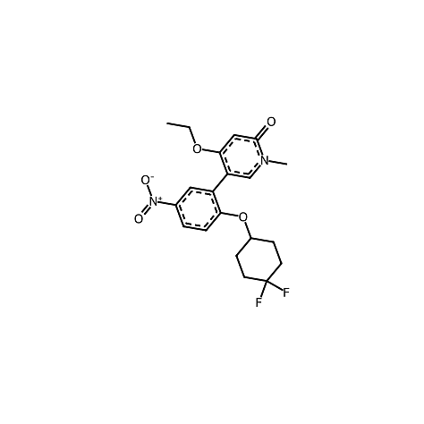 CCOc1cc(=O)n(C)cc1-c1cc([N+](=O)[O-])ccc1OC1CCC(F)(F)CC1